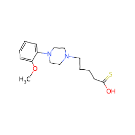 COc1ccccc1N1CCN(CCCCC(O)=S)CC1